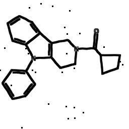 O=C(C1CCC1)N1CCc2c(c3ccccc3n2-c2ccccc2)C1